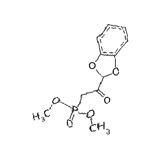 COP(=O)(CC(=O)C1Oc2ccccc2O1)OC